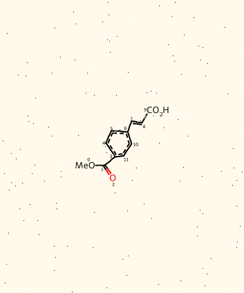 COC(=O)c1ccc(/C=C/C(=O)O)cc1